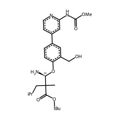 COC(=O)Nc1cc(-c2ccc(O[C@H](N)C(C)(CC(C)C)C(=O)OC(C)(C)C)c(CO)c2)ccn1